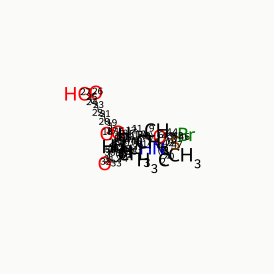 CC(C)[C@@H](NC(=O)C[C@@H](C)[C@H]1CC[C@H]2[C@@H]3[C@H](OC(=O)CCCCCCC(=O)O)C[C@@H]4CC(=O)CC[C@]4(C)[C@H]3CC[C@]12C)c1ccc(Br)s1